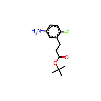 CC(C)(C)OC(=O)CCc1cc(N)ccc1F